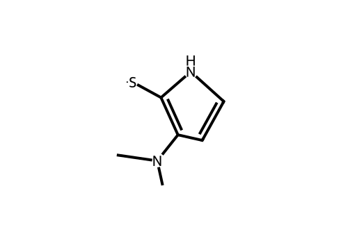 CN(C)c1cc[nH]c1[S]